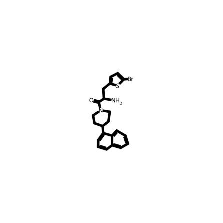 NC(Cc1ccc(Br)s1)C(=O)N1CCC(c2cccc3ccccc23)CC1